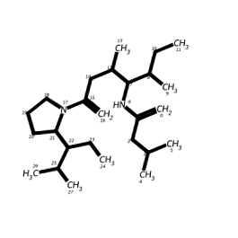 C=C(CC(C)C)NC(C(C)CC)C(C)CC(=C)N1CCCC1C(CC)C(C)C